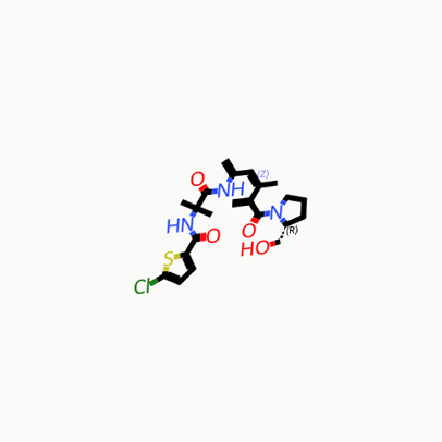 C=C(/C=C(/C)C(=C)C(=O)N1CCC[C@@H]1CO)NC(=O)C(C)(C)NC(=O)c1ccc(Cl)s1